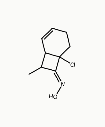 CC1/C(=N\O)C2(Cl)CCC=CC12